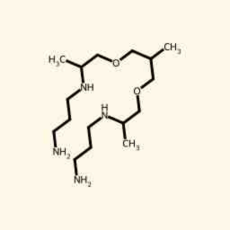 CC(COCC(C)NCCCN)COCC(C)NCCCN